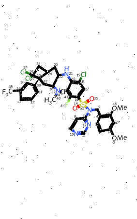 COc1ccc(CN(c2ccncn2)S(=O)(=O)c2cc(Cl)c(NC3CC4CC(Cl)(Cl)[C@@]4(c4cccc(C(F)(F)F)c4)CC3N(C)C)cc2F)c(OC)c1